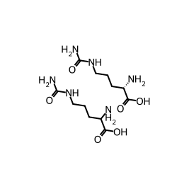 NC(=O)NCCCC(N)C(=O)O.NC(=O)NCCC[C@H](N)C(=O)O